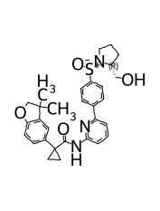 CC1(C)COc2ccc(C3(C(=O)Nc4cccc(-c5ccc([S+]([O-])N6CCC[C@@H]6CO)cc5)n4)CC3)cc21